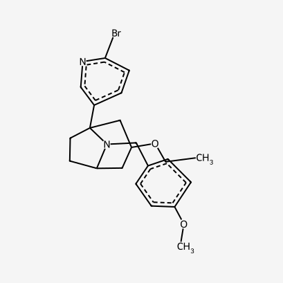 CCOC1CC2CCC(c3ccc(Br)nc3)(C1)N2Cc1ccc(OC)cc1